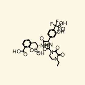 CCN1CCN(C(=O)N[C@@H](C(=O)N[C@H]2Cc3cccc(C(=O)O)c3OB2O)c2ccc(C(F)(F)P(=O)(O)O)cc2)C(=O)C1=O